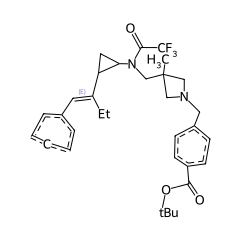 CC/C(=C\c1ccccc1)C1CC1N(CC1(C)CN(Cc2ccc(C(=O)OC(C)(C)C)cc2)C1)C(=O)C(F)(F)F